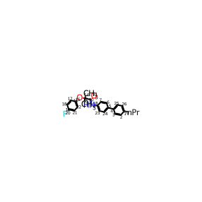 CCCc1ccc(-c2ccc(NC(=O)C(C)(C)Oc3ccc(F)cc3)cc2)cc1